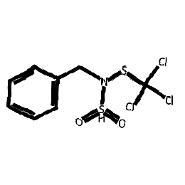 O=[SH](=O)N(Cc1ccccc1)SC(Cl)(Cl)Cl